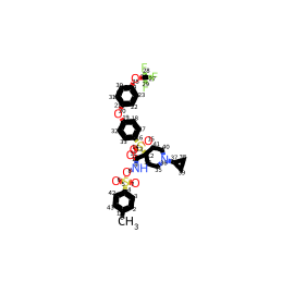 Cc1ccc(S(=O)(=O)ONC(=O)C2(S(=O)(=O)c3ccc(Oc4ccc(OC(F)(F)F)cc4)cc3)CCN(C3CC3)CC2)cc1